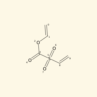 C=COC(=O)S(=O)(=O)C=C